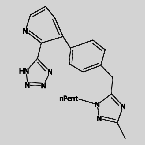 CCCCCn1nc(C)nc1Cc1ccc(-c2cccnc2-c2nnn[nH]2)cc1